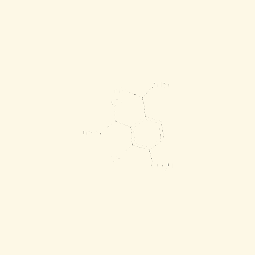 CCCCCCC(CCC)c1ccc(C(=O)O)c(C(=O)O)c1C(CCC)CCCCCC